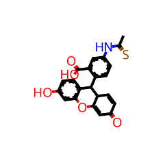 CC(=S)Nc1ccc(C2c3ccc(O)cc3OC3=CC(=O)C=CC32)c(C(=O)O)c1